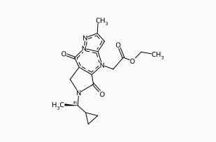 CCOC(=O)Cn1c2c(c(=O)n3nc(C)cc13)CN([C@H](C)C1CC1)C2=O